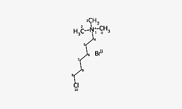 C[N+](C)(C)CCCCCCCl.[Br-]